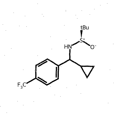 CC(C)(C)[S@@+]([O-])NC(c1ccc(C(F)(F)F)cc1)C1CC1